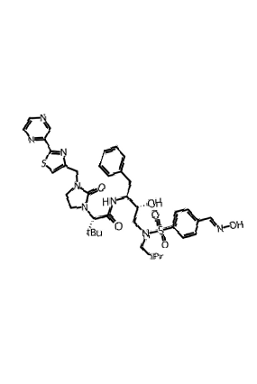 CC(C)CN(C[C@@H](O)[C@H](Cc1ccccc1)NC(=O)[C@@H](N1CCN(Cc2csc(-c3cnccn3)n2)C1=O)C(C)(C)C)S(=O)(=O)c1ccc(/C=N/O)cc1